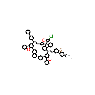 CC1C=Cc2c(sc3ccc(CC[C@@H](c4cc(-c5ccccc5)c5c(c4)oc4ccccc45)c4cccc5c4-c4ccccc4C54c5ccc(Cl)cc5Oc5cc(CCC(c6ccc(-c7ccccc7)cc6)c6cc(-c7ccc8ccccc8c7)c7oc8ccccc8c7c6)ccc54)cc23)C1